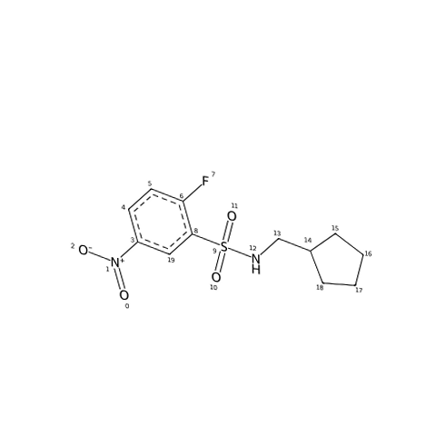 O=[N+]([O-])c1ccc(F)c(S(=O)(=O)NCC2CCCC2)c1